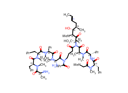 C/C=C/C[C@@H](C)[C@@H](O)[C@H](NC)C(=O)[C@](C)(C(=O)O)N(C(=O)CCCN(C(=O)CCC)C(=O)[C@H](N)N(C)C(=O)[C@H](C(C)C)N(C)C(=O)[C@H](CC(C)C)N(C)C(=O)[C@H](CC(C)C)N(C)C(=O)[C@@H](C)N)C(=O)[C@H](C)N(C)C(=O)[C@@H](NC(=O)[C@H](CC(C)C)N(C)C(=O)CNC)C(C)C